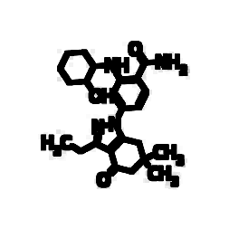 CCc1nn(-c2ccc(C(N)=O)c(NC3CCCCC3O)c2)c2c1C(=O)CC(C)(C)C2